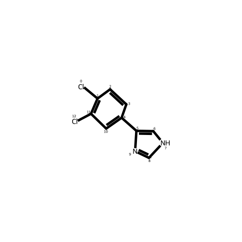 Clc1ccc(-c2c[nH][c]n2)cc1Cl